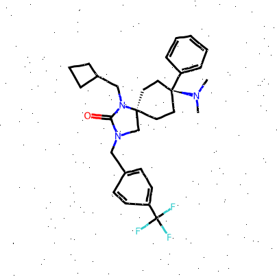 CN(C)[C@]1(c2ccccc2)CC[C@]2(CC1)CN(Cc1ccc(C(F)(F)F)cc1)C(=O)N2CC1CCC1